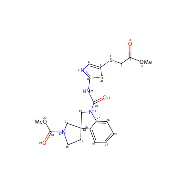 COC(=O)CSc1cnc(NC(=O)N2CC3(CCN(C(=O)OC)C3)c3ccccc32)s1